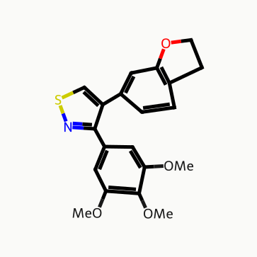 COc1cc(-c2nscc2-c2ccc3c(c2)OCC3)cc(OC)c1OC